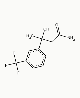 CC(O)(CC(N)=O)c1cccc(C(F)(F)F)c1